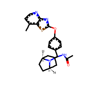 CC(=O)NC1C[C@H]2CC[C@@H](C1)N2Cc1ccc(Oc2nc3nccc(C)c3s2)cc1